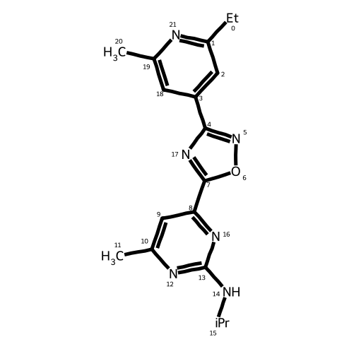 CCc1cc(-c2noc(-c3cc(C)nc(NC(C)C)n3)n2)cc(C)n1